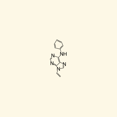 C=Cn1cnc2c(Nc3ccccc3)ncnc21